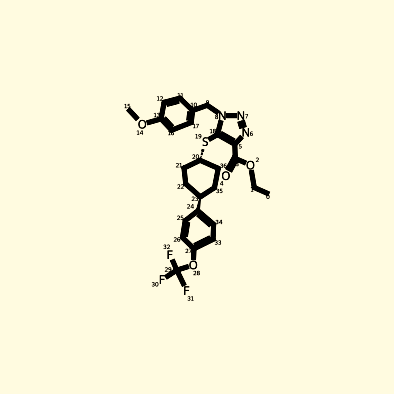 CCOC(=O)c1nnn(Cc2ccc(OC)cc2)c1S[C@H]1CC[C@H](c2ccc(OC(F)(F)F)cc2)CC1